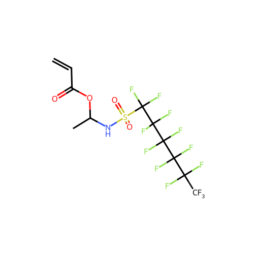 C=CC(=O)OC(C)NS(=O)(=O)C(F)(F)C(F)(F)C(F)(F)C(F)(F)C(F)(F)C(F)(F)F